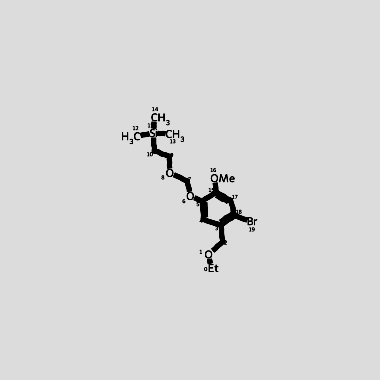 CCOCc1cc(OCOCC[Si](C)(C)C)c(OC)cc1Br